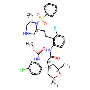 COC(=O)N[C@H](C(=O)Nc1cccc(F)c1CC[C@H]1CNC[C@H](C)N1S(=O)(=O)c1ccccc1)[C@@]1(c2ccc(Cl)cc2)C[C@@H](C)O[C@@H](C)C1